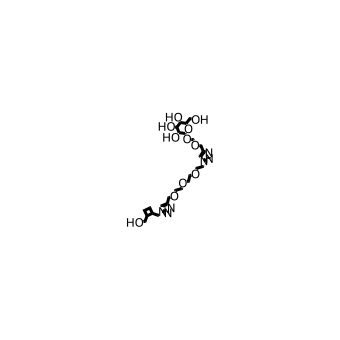 OCC1CCC1Cn1cc(COCCOCCOCCn2cc(COCOC3OC(CO)C(O)C(O)C3O)nn2)nn1